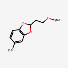 CSOCCC1Oc2ccc([N+](=O)[O-])cc2O1